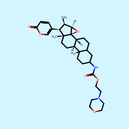 CC(=O)O[C@H]1[C@H]2O[C@]23[C@@H]2CCC4CC(NC(=O)OCCN5CCOCC5)CC[C@]4(C)[C@H]2CC[C@]3(C)[C@H]1c1ccc(=O)oc1